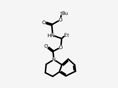 CCC(NC(=O)OC(C)(C)C)OC(=O)N1CCCc2ccccc21